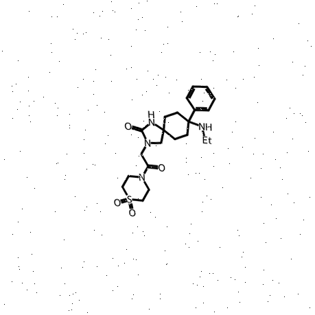 CCNC1(c2ccccc2)CCC2(CC1)CN(CC(=O)N1CCS(=O)(=O)CC1)C(=O)N2